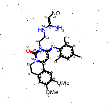 COc1cc2c(cc1OC)-c1c/c(=N\c3c(C)cc(C)cc3C)n(CCN/C(N)=C/N=O)c(=O)n1CC2